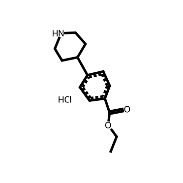 CCOC(=O)c1ccc(C2CCNCC2)cc1.Cl